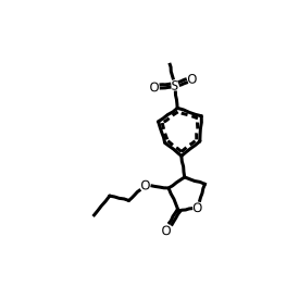 CCCOC1C(=O)OCC1c1ccc(S(C)(=O)=O)cc1